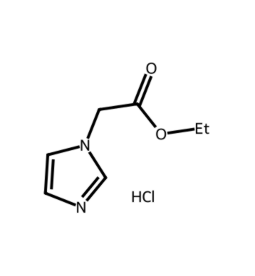 CCOC(=O)Cn1ccnc1.Cl